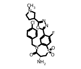 CN1CCC(c2nnc(-c3cc4c(cc3F)S(=O)(=O)C[C@H](N)C(=O)N4Cc3ccc(Cl)cc3)o2)C1